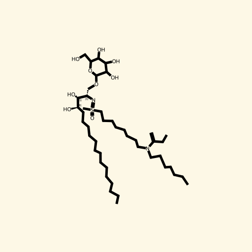 C=C(CC)N(CCCCCCC)CCCCCCCCS(C)(=O)=N[C@@H](COC1OC(CO)C(O)C(O)C1O)[C@H](O)[C@H](O)CCCCCCCCCCCCCC